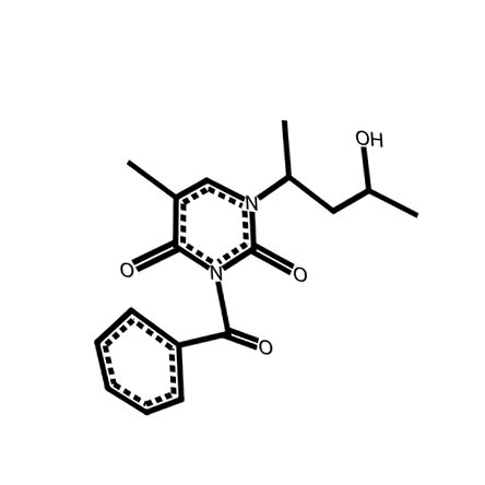 Cc1cn(C(C)CC(C)O)c(=O)n(C(=O)c2ccccc2)c1=O